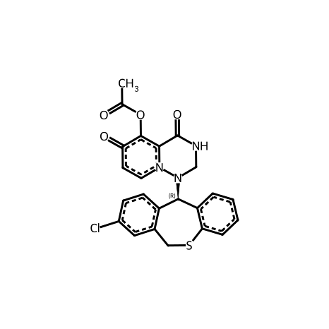 CC(=O)Oc1c2n(ccc1=O)N([C@@H]1c3ccc(Cl)cc3CSc3ccccc31)CNC2=O